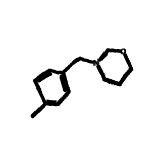 Cc1ccc(CN2CCCOC2)cc1